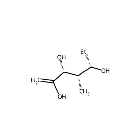 C=C(O)[C@H](O)[C@@H](C)[C@@H](O)CC